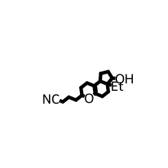 CCC12CCC3=C(CCC(CCCC#N)O3)C1CCC2O